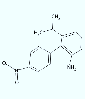 CC(C)c1cccc(N)c1-c1ccc([N+](=O)[O-])cc1